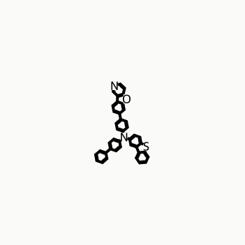 c1ccc(-c2ccc(N(c3ccc(-c4ccc5c(c4)oc4ccncc45)cc3)c3ccc4sc5ccccc5c4c3)cc2)cc1